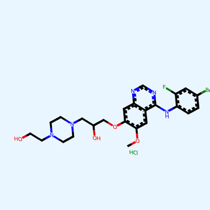 COc1cc2c(Nc3ccc(Br)cc3F)ncnc2cc1OCC(O)CN1CCN(CCO)CC1.Cl